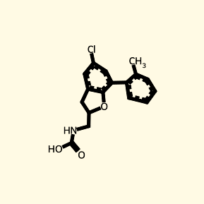 Cc1ccccc1-c1cc(Cl)cc2c1OC(CNC(=O)O)C2